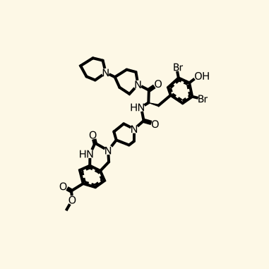 COC(=O)c1ccc2c(c1)NC(=O)N(C1CCN(C(=O)N[C@H](Cc3cc(Br)c(O)c(Br)c3)C(=O)N3CCC(N4CCCCC4)CC3)CC1)C2